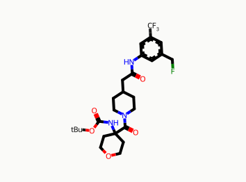 CC(C)(C)OC(=O)NC1(C(=O)N2CCC(CC(=O)Nc3cc(CF)cc(C(F)(F)F)c3)CC2)CCOCC1